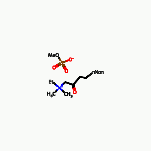 CCCCCCCCCCCC(=O)C[N+](C)(C)CC.COS(=O)(=O)[O-]